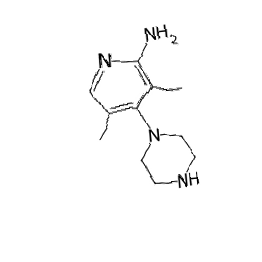 Cc1cnc(N)c(C)c1N1CCNCC1